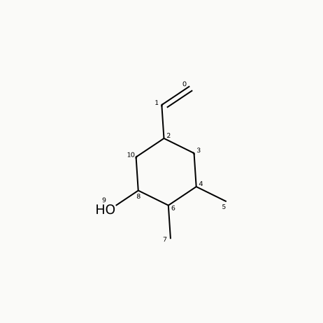 C=CC1CC(C)C(C)C(O)C1